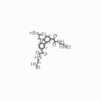 CCCCC(CC)Cn1c2ccc(C(=O)C(=O)NCCNCC)cc2c2cc(C(=O)C(=O)NCCNCC)ccc21